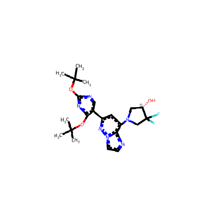 CC(C)(C)Oc1ncc(-c2cc(N3C[C@H](O)C(F)(F)C3)c3nccn3n2)c(OC(C)(C)C)n1